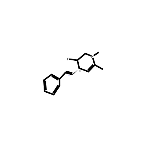 CC1=C[C@H](/C=C/c2ccccc2)C(F)CN1C